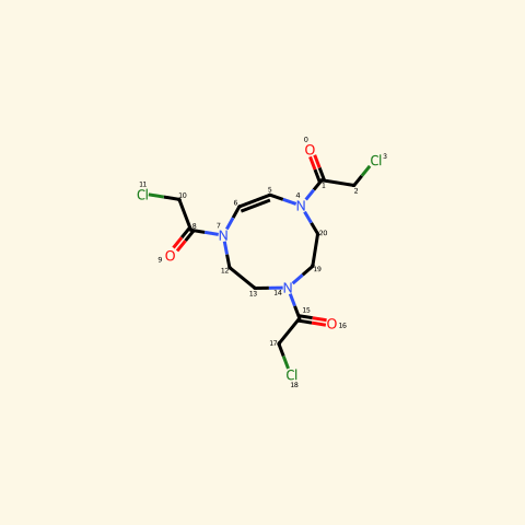 O=C(CCl)N1C=CN(C(=O)CCl)CCN(C(=O)CCl)CC1